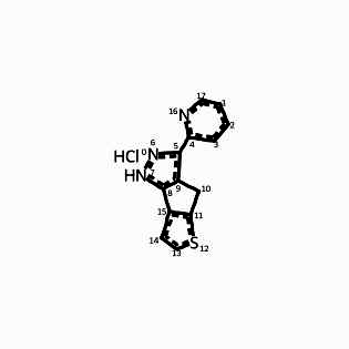 Cl.c1ccc(-c2n[nH]c3c2Cc2sccc2-3)nc1